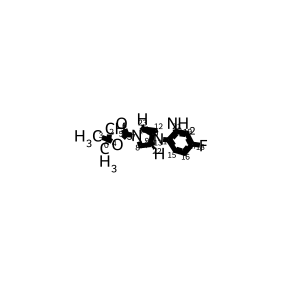 CC(C)(C)OC(=O)N1C[C@@H]2C[C@H]1CN2c1ccc(F)cc1N